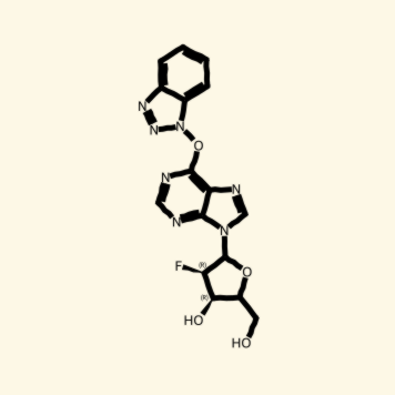 OCC1OC(n2cnc3c(On4nnc5ccccc54)ncnc32)[C@H](F)[C@@H]1O